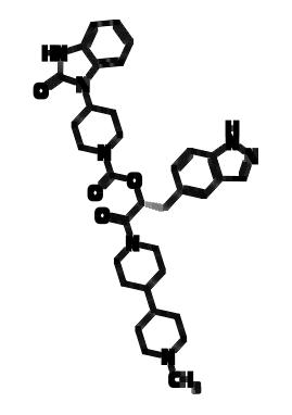 CN1CCC(C2CCN(C(=O)[C@@H](Cc3ccc4[nH]ncc4c3)OC(=O)N3CCC(n4c(=O)[nH]c5ccccc54)CC3)CC2)CC1